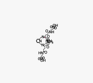 CN1CCN2Cc3cccc(n3)CN(CC1)C(CCC(=O)NCCS(=O)(=O)O)C(=O)ONOC(=O)C2CCC(=O)NCCS(=O)(=O)O